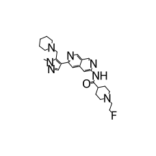 Cn1ncc(-c2cc3cc(NC(=O)C4CCN(CCF)CC4)ncc3cn2)c1CN1CCCCC1